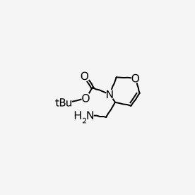 CC(C)(C)OC(=O)N1COC=CC1CN